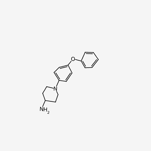 NC1CCN(c2ccc(Oc3ccccc3)cc2)CC1